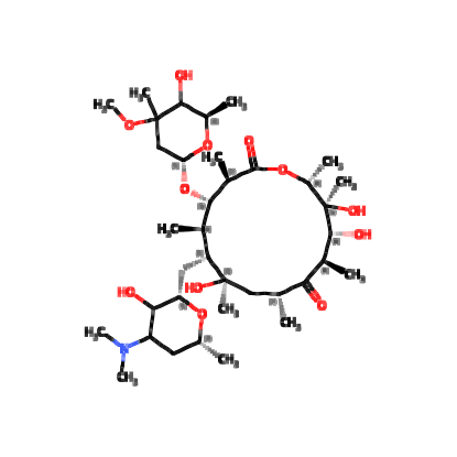 COC1(C)C[C@@H](O[C@H]2[C@H](C)[C@@H](C[C@@H]3O[C@H](C)CC(N(C)C)C3O)[C@](C)(O)C[C@@H](C)C(=O)[C@H](C)[C@@H](O)[C@](C)(O)[C@@H](C)OC(=O)[C@@H]2C)O[C@H](C)C1O